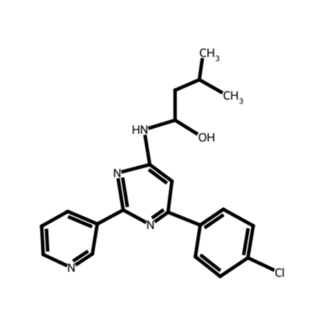 CC(C)CC(O)Nc1cc(-c2ccc(Cl)cc2)nc(-c2cccnc2)n1